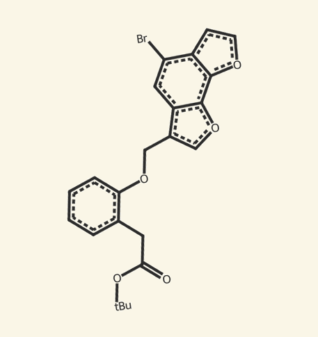 CC(C)(C)OC(=O)Cc1ccccc1OCc1coc2c1cc(Br)c1ccoc12